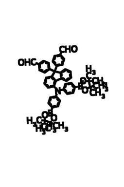 CC1(C)OB(c2ccc(N(c3ccc(B4OC(C)(C)C(C)(C)O4)cc3)c3cccc4c3-c3ccccc3C4(c3ccc(C=O)cc3)c3ccc(C=O)cc3)cc2)OC1(C)C